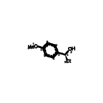 CC[C@@H](O)c1ccc(OC)cc1